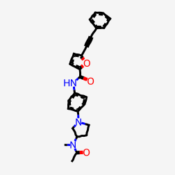 CC(=O)N(C)C1CCN(c2ccc(NC(=O)c3ccc(C#Cc4ccccc4)o3)cc2)C1